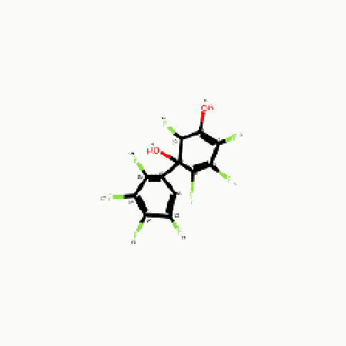 OC1=C(F)C(F)=C(F)C(O)(c2cc(F)c(F)c(F)c2F)C1F